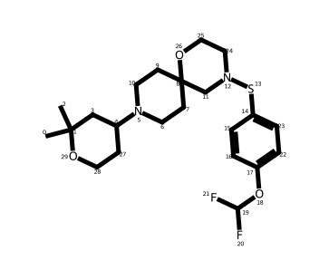 CC1(C)CC(N2CCC3(CC2)CN(Sc2ccc(OC(F)F)cc2)CCO3)CCO1